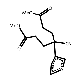 COC(=O)CCC(C#N)(CCC(=O)OC)c1ccsc1